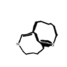 C1=C2CCCN=C2CC[N]1